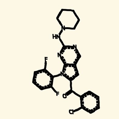 O=C(c1ccccc1Cl)c1cc2cnc(NN3CCCCC3)nc2n1-c1c(F)cccc1F